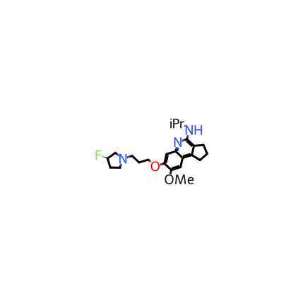 COc1cc2c3c(c(NC(C)C)nc2cc1OCCCN1CC[C@@H](F)C1)CCC3